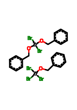 [Br][Zr]([Br])([Br])[O]Cc1ccccc1.[Br][Zr]([Br])([O]Cc1ccccc1)[O]Cc1ccccc1